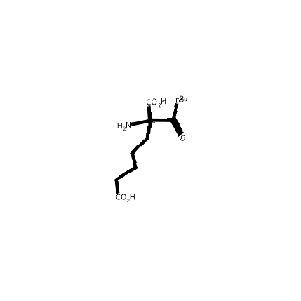 CCCCC(=O)C(N)(CCCCC(=O)O)C(=O)O